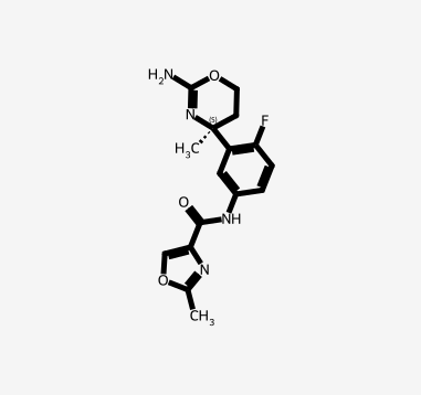 Cc1nc(C(=O)Nc2ccc(F)c([C@]3(C)CCOC(N)=N3)c2)co1